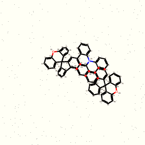 c1ccc(-c2ccccc2N(c2ccccc2-c2ccc3c(c2)C2(c4ccccc4Oc4ccccc42)c2ccccc2-3)c2ccccc2-c2cccc3c2-c2ccccc2C32c3ccccc3Oc3ccccc32)cc1